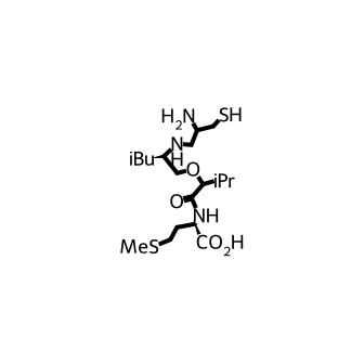 CC[C@H](C)C(COC(C(=O)N[C@H](CCSC)C(=O)O)C(C)C)NCC(N)CS